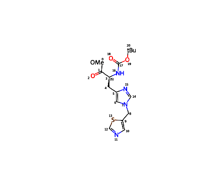 COC(=O)[C@H](Cc1cn(Cc2cncs2)cn1)NC(=O)OC(C)(C)C